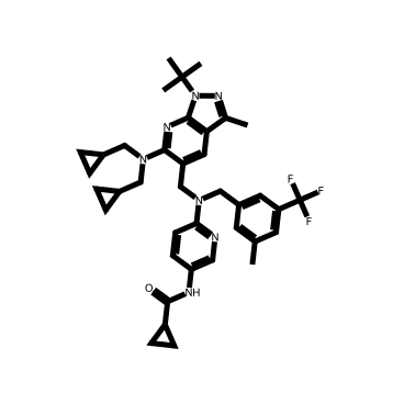 Cc1cc(CN(Cc2cc3c(C)nn(C(C)(C)C)c3nc2N(CC2CC2)CC2CC2)c2ccc(NC(=O)C3CC3)cn2)cc(C(F)(F)F)c1